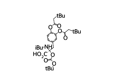 CCC(C)N[C@@](Cc1ccc(OC(=O)CC(C)(C)C)c(OC(=O)CC(C)(C)C)c1)(OC(=O)OC(C)(C)C)C(=O)O